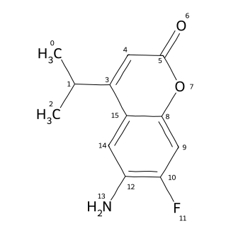 CC(C)c1cc(=O)oc2cc(F)c(N)cc12